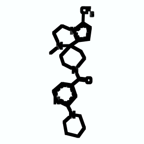 CN1CCn2c(C(F)(F)F)ccc2C12CCN(C(=O)c1ccnc(N3CCCCC3)c1)CC2